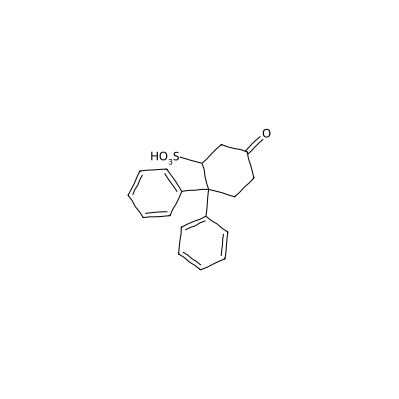 O=C1CCC(c2ccccc2)(c2ccccc2)C(S(=O)(=O)O)C1